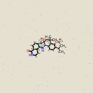 COc1c(C(C)C)ccc2c1C(C)(C)CC(O)(C(F)(F)F)C2Nc1cccc2c(=O)[nH]ccc12